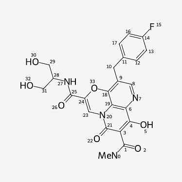 CNC(=O)c1c(O)c2ncc(Cc3ccc(F)cc3)c3c2n(c1=O)C=C(C(=O)NC(CO)CO)O3